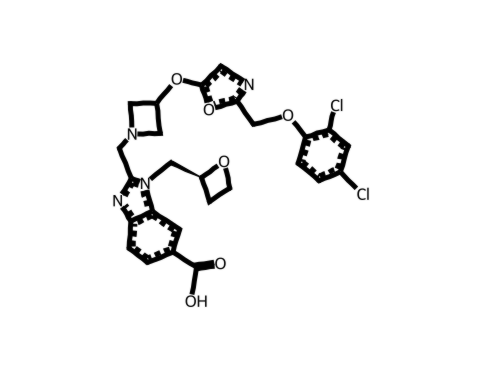 O=C(O)c1ccc2nc(CN3CC(Oc4cnc(COc5ccc(Cl)cc5Cl)o4)C3)n(C[C@@H]3CCO3)c2c1